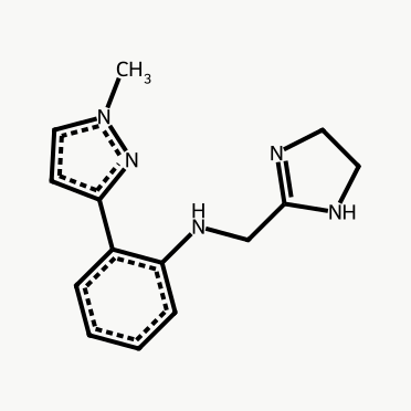 Cn1ccc(-c2ccccc2NCC2=NCCN2)n1